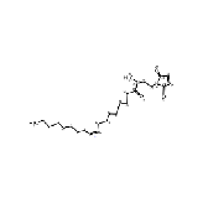 CCCCCCCC/C=C\CCCCCCCC(=O)N(C)CCN1C(=O)C=CC1=O